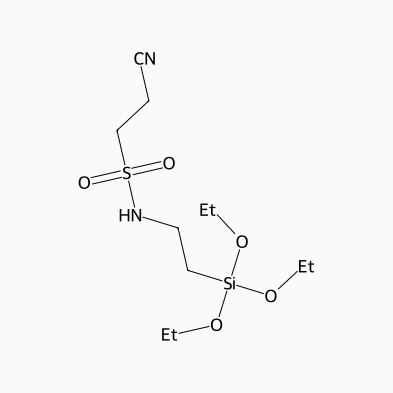 CCO[Si](CCNS(=O)(=O)CCC#N)(OCC)OCC